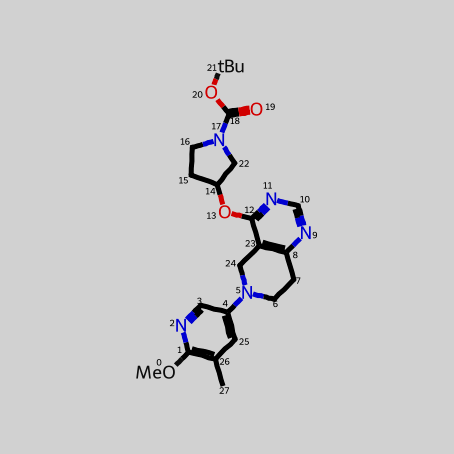 COc1ncc(N2CCc3ncnc(OC4CCN(C(=O)OC(C)(C)C)C4)c3C2)cc1C